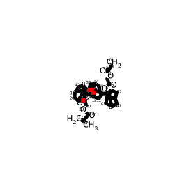 C=CC(=O)OCC(=O)OC1(C2CC3CC2CC3C23CC4CC(C2)C(OC(=O)COC(=O)C(=C)C)(C2CC5CCC2C5)C(C4)C3)C2CC3CC(C2)CC1C3